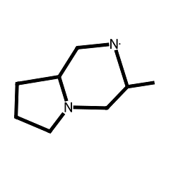 CC1CN2CCCC2C[N]1